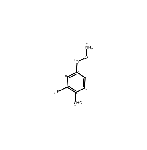 NOOc1ccc(C=O)c(F)c1